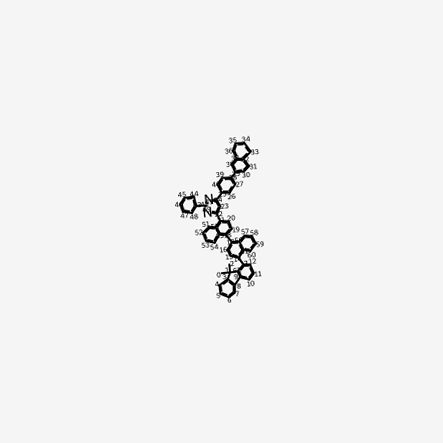 CC1(C)c2ccccc2-c2cccc(-c3ccc(-c4ccc(-c5cc(-c6ccc(-c7ccc8ccccc8c7)cc6)nc(-c6ccccc6)n5)c5ccccc45)c4ccccc34)c21